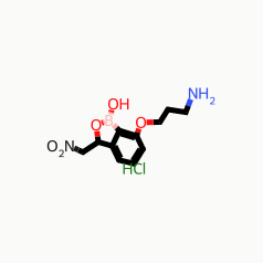 Cl.NCCCOc1cccc2c1B(O)OC2C[N+](=O)[O-]